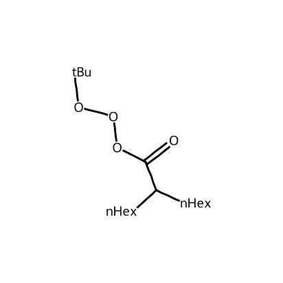 CCCCCCC(CCCCCC)C(=O)OOOC(C)(C)C